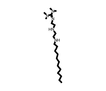 CCCCCCCCCCCCNCCNCCN=C(N(C)C)N(C)C